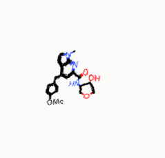 COc1ccc(Cc2cc(C(=O)N[C@@H]3COCC[C@H]3O)nc3c2ccn3C)cc1